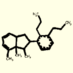 CCCc1cccc(C2[C]C3C=CC=C(C)C3(C)C2C)c1CCC